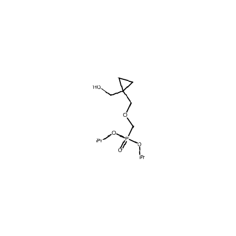 CC(C)OP(=O)(COCC1(CO)CC1)OC(C)C